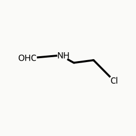 O=CNCCCl